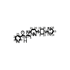 O=C(Nc1cn2nc(N3CCN(c4ncccn4)CC3)ccc2n1)c1cccnc1